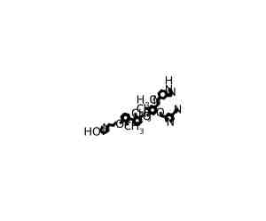 Cc1c(COc2cc(OCc3cncc(C#N)c3)c(CN(C)C3CCc4[nH]ncc4C3)cc2Cl)cccc1-c1cccc(OCCCN2CCC(O)C2)c1C